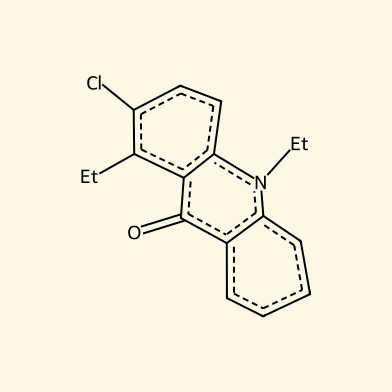 CCc1c(Cl)ccc2c1c(=O)c1ccccc1n2CC